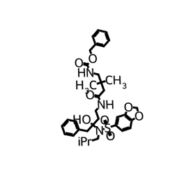 CC(C)CN(C(O)(CCNC(=O)CC(C)(C)CNC(=O)OCc1ccccc1)Cc1ccccc1)S(=O)(=O)c1ccc2c(c1)OCO2